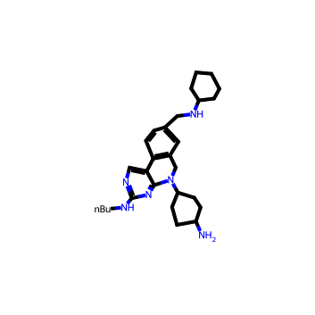 CCCCNc1ncc2c(n1)N(C1CCC(N)CC1)Cc1cc(CNC3CCCCC3)ccc1-2